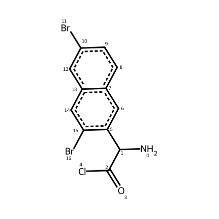 NC(C(=O)Cl)c1cc2ccc(Br)cc2cc1Br